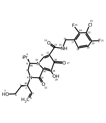 C=C[C@@H](CCO)N1C[C@@H](C(C)C)n2cc(C(=O)NCc3ccc(F)c(Cl)c3F)c(=O)c(O)c2C1=O